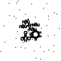 CCCC[N+](CCCC)(CCCC)CCCC.O=[PH]([O-])Oc1ccccc1